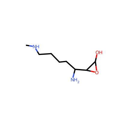 CNCCCCC(N)C1OC1O